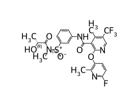 Cc1nc(F)ccc1Oc1ncc(C(F)(F)F)c(C)c1C(=O)Nc1cccc([S@@+]([O-])N(C)C(=O)[C@@H](C)O)c1